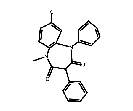 CN1C(=O)C(c2ccccc2)C(=O)N(c2ccccc2)c2cc(Cl)ccc21